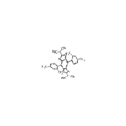 N#CC(C#N)c1nc2c(-c3ccc(C(F)(F)F)cc3C(F)(F)F)c3oc(C(C#N)C#N)nc3c(-c3ccc(C(F)(F)F)cc3C(F)(F)F)c2o1